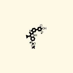 COc1cc(-c2ccc3ncc(C(=O)C4CC4)c(N[C@H]4CC[C@H](N(C)C(=O)OC(C)(C)C)CC4)c3c2)cc(Cl)c1O